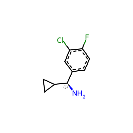 N[C@H](c1ccc(F)c(Cl)c1)C1CC1